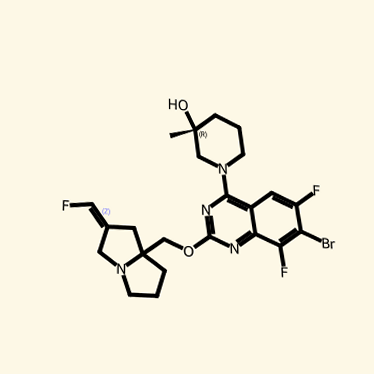 C[C@@]1(O)CCCN(c2nc(OCC34CCCN3C/C(=C\F)C4)nc3c(F)c(Br)c(F)cc23)C1